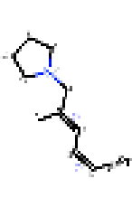 CCC/C=C\C=C(/C)CN1CCCC1